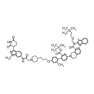 Cc1cc(OCCCC2CCN(CC(=O)Nc3ccc4c(C5CCC(=O)NC5=O)nn(C)c4c3)CC2)ccc1-c1ccc(N2CCc3ccnc(C(=O)N(COCC[Si](C)(C)C)c4nc5ccccc5s4)c3C2)nc1C(=O)OC(C)(C)C